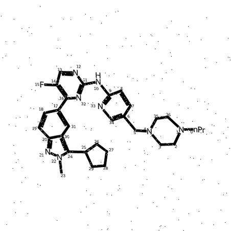 CCCN1CCN(Cc2ccc(Nc3ncc(F)c(-c4ccc5nn(C)c(C6CCCC6)c5c4)n3)nc2)CC1